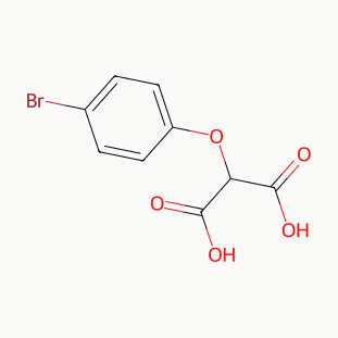 O=C(O)C(Oc1ccc(Br)cc1)C(=O)O